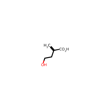 C=C(CCO)C(=O)O